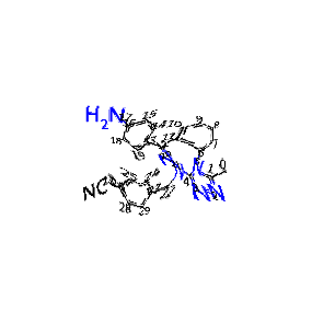 Cc1nnc2n1-c1ccccc1C(c1ccc(N)cc1)=NN2Cc1ccc(C#N)cc1